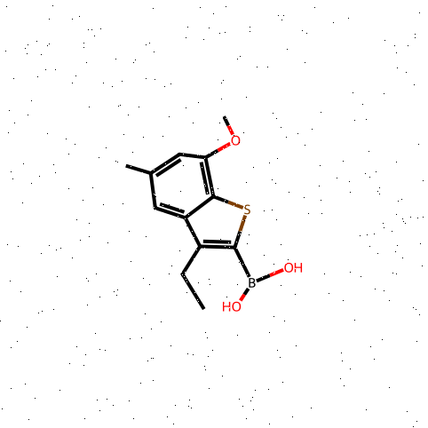 CCc1c(B(O)O)sc2c(OC)cc(C)cc12